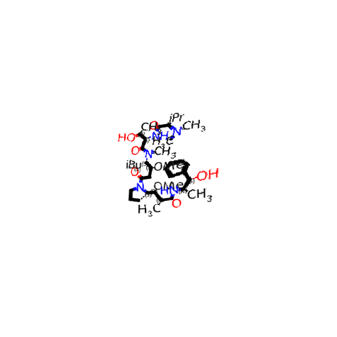 CC[C@H](C)[C@@H]([C@@H](CC(=O)N1CCC[C@H]1[C@H](OC)[C@@H](C)C(=O)N[C@H](C)[C@@H](O)c1ccccc1)OC)N(C)C(=O)[C@@H](NC(=O)C(C(C)C)N(C)C)[C@@H](C)O